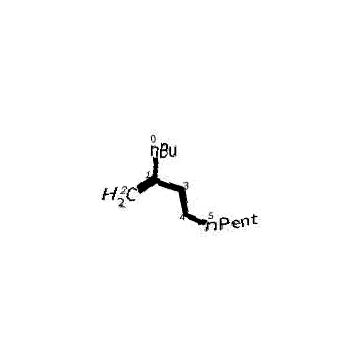 [CH2]CCCC(=C)CCCCCCC